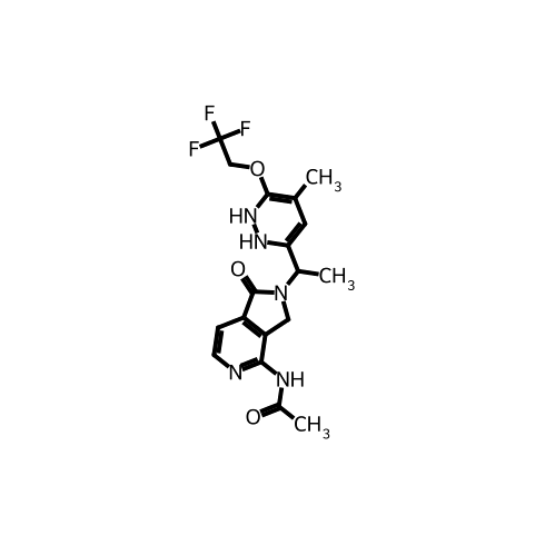 CC(=O)Nc1nccc2c1CN(C(C)C1=CC(C)=C(OCC(F)(F)F)NN1)C2=O